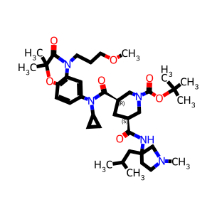 COCCCN1C(=O)C(C)(C)Oc2ccc(N(C(=O)[C@@H]3C[C@H](C(=O)NC4(CC(C)C)CCN(C)C4)CN(C(=O)OC(C)(C)C)C3)C3CC3)cc21